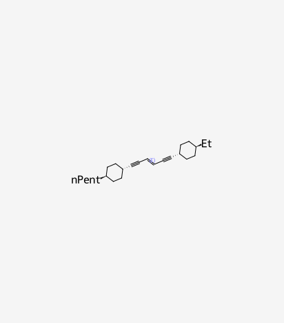 CCCCC[C@H]1CC[C@H](C#C/C=C/C#C[C@H]2CC[C@H](CC)CC2)CC1